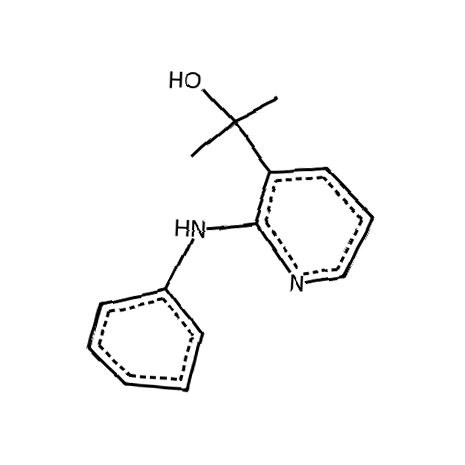 CC(C)(O)c1cccnc1Nc1ccccc1